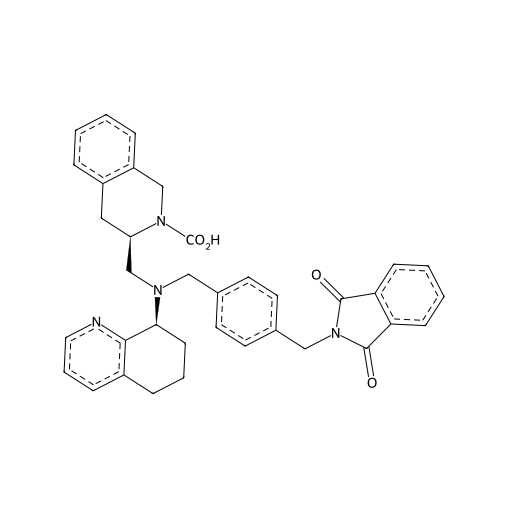 O=C1c2ccccc2C(=O)N1Cc1ccc(CN(C[C@H]2Cc3ccccc3CN2C(=O)O)[C@H]2CCCc3cccnc32)cc1